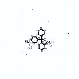 CCOCC.NP(O)OC(c1ccccc1)(c1ccccc1)c1ccccc1